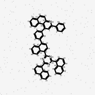 c1ccc(-c2cc(-c3cccc(-c4ccc(-c5nc(-c6cccc7ccccc67)nc(-c6cccc7ccccc67)n5)c5ccccc45)c3)c3c(ccc4ccccc43)n2)cc1